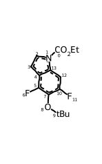 CCOC(=O)n1ccc2c(F)c(OC(C)(C)C)c(F)cc21